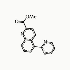 COC(=O)c1ccc2c(-c3ncccn3)cccc2n1